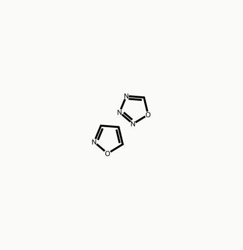 c1cnoc1.c1nnno1